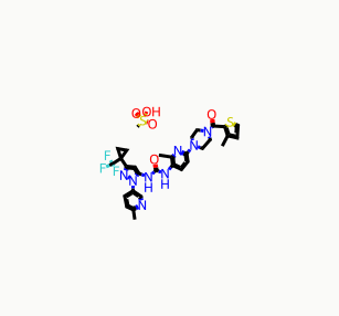 CS(=O)(=O)O.Cc1ccc(-n2nc(C3(C(F)(F)F)CC3)cc2NC(=O)Nc2ccc(N3CCN(C(=O)c4sccc4C)CC3)nc2C)cn1